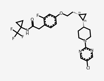 O=C(Cc1ccc(OCC[C@@H]2C[C@@H]2C2CCN(c3ncc(Cl)cn3)CC2)cc1F)NC1(C(F)(F)F)CC1